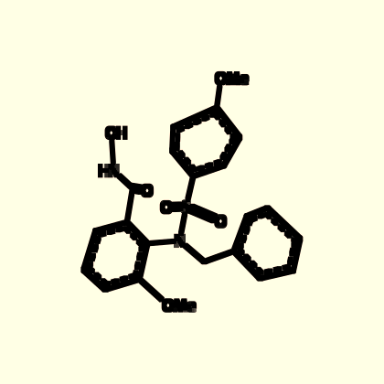 COc1ccc(S(=O)(=O)N(Cc2ccccc2)c2c(OC)cccc2C(=O)NO)cc1